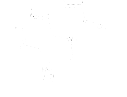 Cl.Cl.Cn1c(=O)ccc2ncccc21